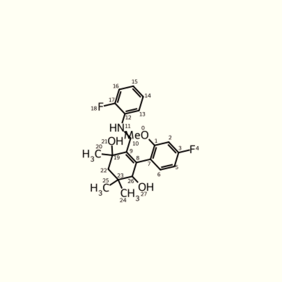 COc1cc(F)ccc1C1=C(CNc2ccccc2F)C(C)(O)CC(C)(C)C1O